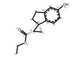 CCOC(=O)[C@H]1C[C@@]12CCc1cc(O)ccc12